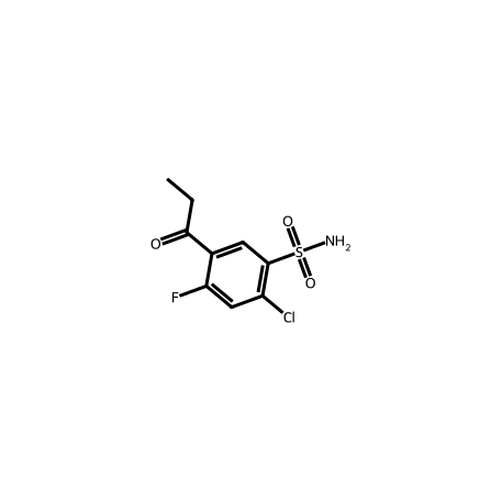 CCC(=O)c1cc(S(N)(=O)=O)c(Cl)cc1F